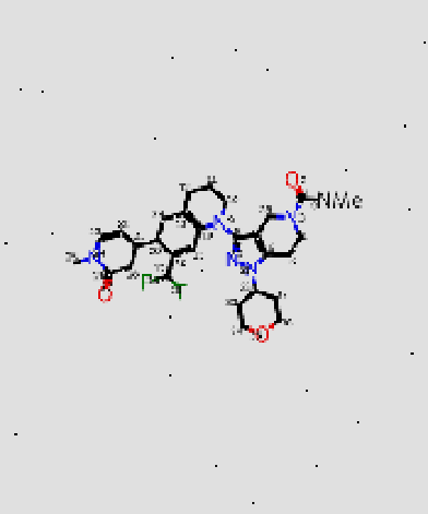 CNC(=O)N1CCc2c(c(N3CCCC4=C3C=C(C(F)F)C(C3C=CN(C)C(=O)C3)C4)nn2C2CCOCC2)C1